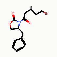 CC(CCBr)CC(=O)N1C(=O)OC[C@@H]1Cc1ccccc1